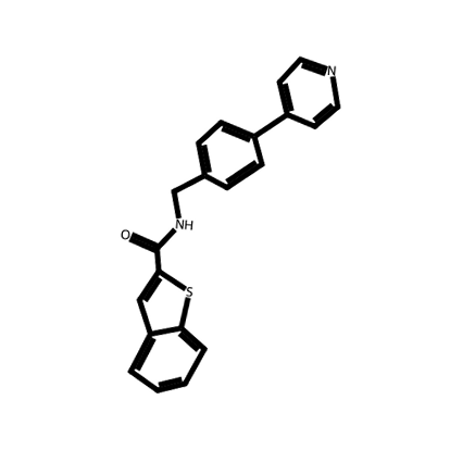 O=C(NCc1ccc(-c2ccncc2)cc1)c1cc2ccccc2s1